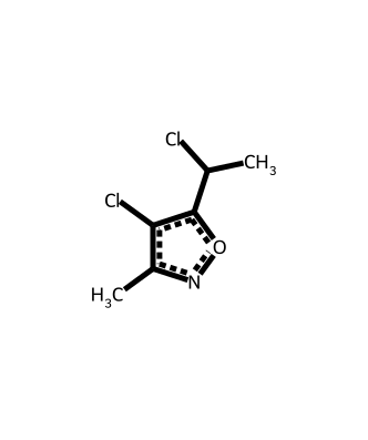 Cc1noc(C(C)Cl)c1Cl